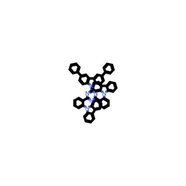 c1ccc(-c2ccc3c(c2)c2cc(-c4ccccc4)ccc2n3-c2nc(-c3ccccc3-n3c4ccccc4c4ccccc43)nc(-c3ccccc3-n3c4ccccc4c4ccccc43)n2)cc1